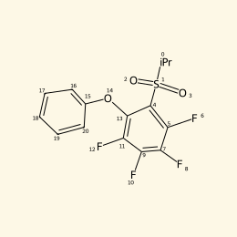 CC(C)S(=O)(=O)c1c(F)c(F)c(F)c(F)c1Oc1ccccc1